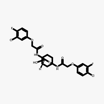 O=C(COc1ccc(Cl)c(F)c1)NC12CCC(NC(=O)COc3ccc(F)c(Cl)c3)(CC1)[C@@H](O)C2